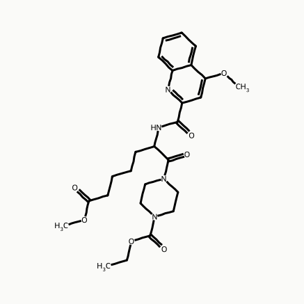 CCOC(=O)N1CCN(C(=O)C(CCCCC(=O)OC)NC(=O)c2cc(OC)c3ccccc3n2)CC1